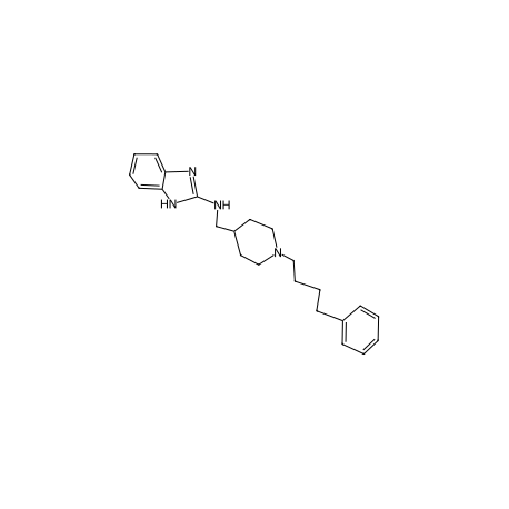 c1ccc(CCCCN2CCC(CNc3nc4ccccc4[nH]3)CC2)cc1